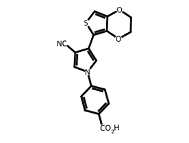 N#Cc1cn(-c2ccc(C(=O)O)cc2)cc1-c1scc2c1OCCO2